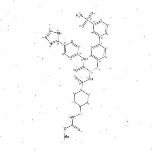 CC(C)(C)OC(=O)NCC1CCC(C(=O)N[C@@H](Cc2ccc(-c3cccc(S(N)(=O)=O)c3)cc2)C(=O)Nc2ccc(-c3nnn[nH]3)cc2)CC1